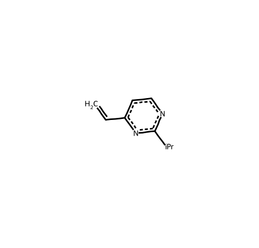 C=Cc1ccnc(C(C)C)n1